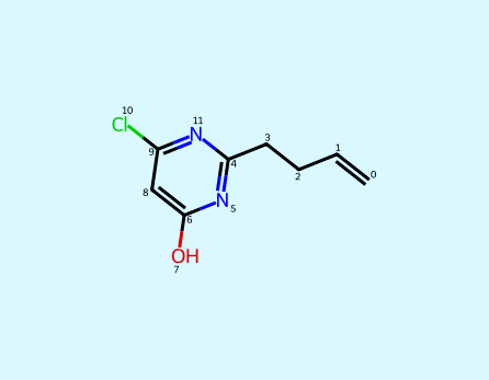 C=CCCc1nc(O)cc(Cl)n1